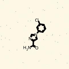 NC(=O)c1cn(-c2cccc(Cl)c2)cn1